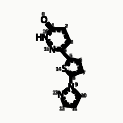 O=c1ccc(-c2ccc(-n3cccn3)s2)n[nH]1